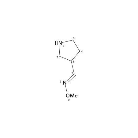 CON=CC1CCNC1